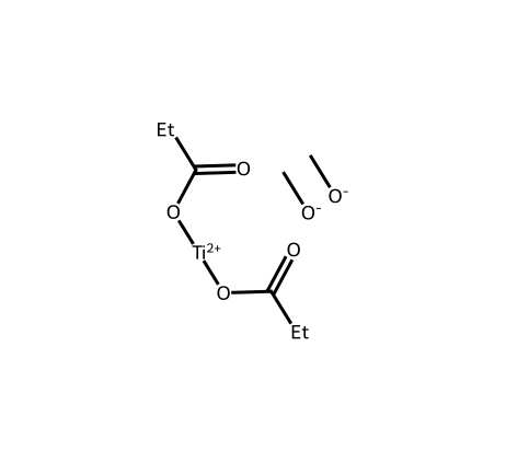 CCC(=O)[O][Ti+2][O]C(=O)CC.C[O-].C[O-]